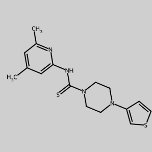 Cc1cc(C)nc(NC(=S)N2CCN(c3ccsc3)CC2)c1